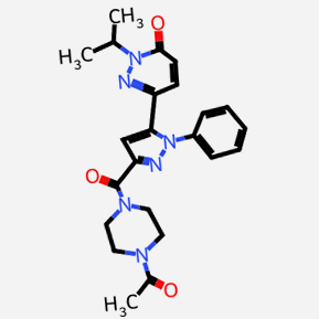 CC(=O)N1CCN(C(=O)c2cc(-c3ccc(=O)n(C(C)C)n3)n(-c3ccccc3)n2)CC1